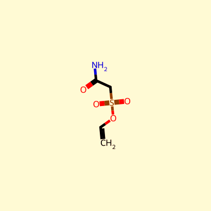 C=COS(=O)(=O)CC(N)=O